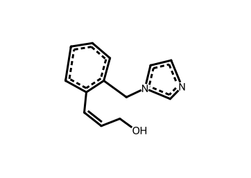 OC/C=C\c1ccccc1Cn1ccnc1